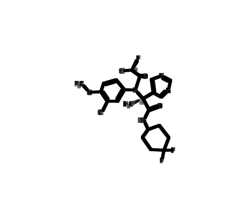 C[C@@](C(=O)NC1CCC(F)(F)CC1)(c1cncnc1)N(C(=O)[C@H](F)Cl)c1ccc(OC(F)(F)F)c(Cl)c1